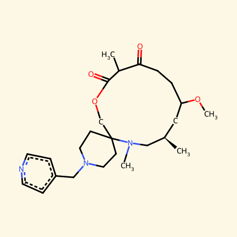 COC1CCC(=O)C(C)C(=O)OCC2(CCN(Cc3ccncc3)CC2)N(C)C[C@H](C)C1